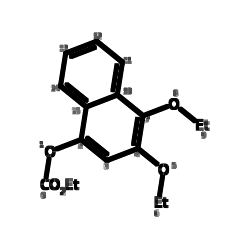 CCOC(=O)Oc1cc(OCC)c(OCC)c2ccccc12